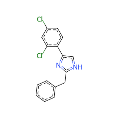 Clc1ccc(-c2c[nH]c(Cc3ccccc3)n2)c(Cl)c1